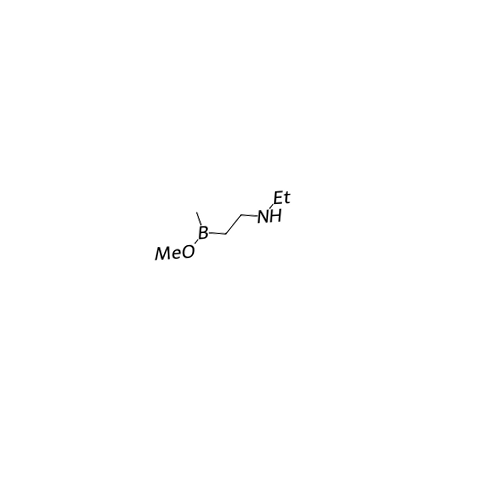 CCNCCB(C)OC